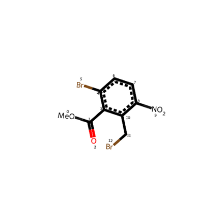 COC(=O)c1c(Br)ccc([N+](=O)[O-])c1CBr